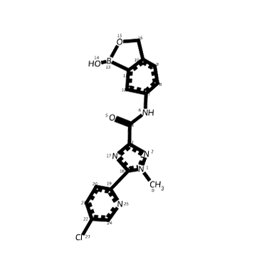 Cn1nc(C(=O)Nc2ccc3c(c2)B(O)OC3)nc1-c1ccc(Cl)cn1